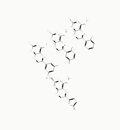 CCOc1nc(N)nc2ncc(-c3cc(C)cc(C)c3)nc12.CCOc1nc(N)nc2ncc(-c3cc(Cl)ccc3Cl)nc12.CCOc1nc(N)nc2ncc(-c3ccc(Cl)s3)nc12.CCOc1nc(N)nc2ncc(-c3ccccc3O)nc12